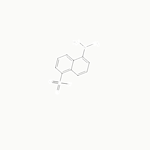 CN(C)c1cccc2c(S(=O)(=O)Br)cccc12